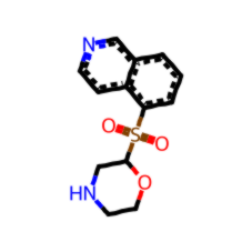 O=S(=O)(c1cccc2cnccc12)C1CNCCO1